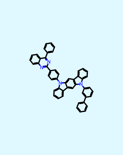 c1ccc(-c2cccc(-n3c4ccccc4c4cc5c(cc43)c3ccccc3n5-c3ccc(-c4nc(-c5ccccc5)c5ccccc5n4)cc3)c2)cc1